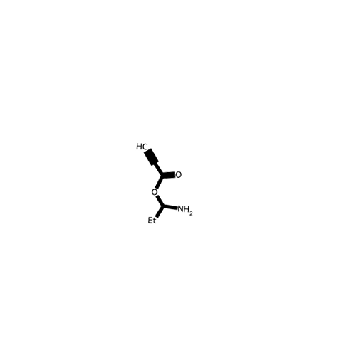 C#CC(=O)OC(N)CC